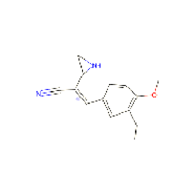 CCc1cc(/C=C(/C#N)C2CN2)ccc1OC